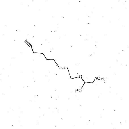 C#CCCCCCCCOC(O)CCCCCCCCC